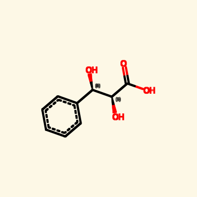 O=C(O)[C@@H](O)[C@H](O)c1ccccc1